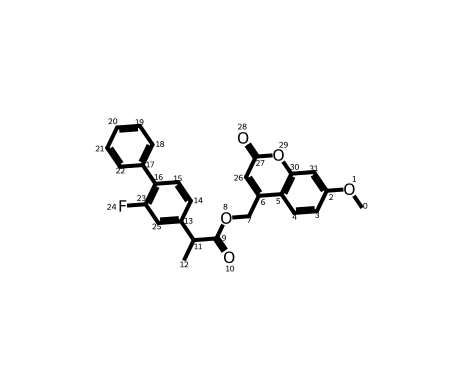 COc1ccc2c(COC(=O)C(C)c3ccc(-c4ccccc4)c(F)c3)cc(=O)oc2c1